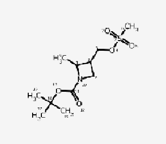 CC1C(COS(C)(=O)=O)CN1C(=O)OC(C)(C)C